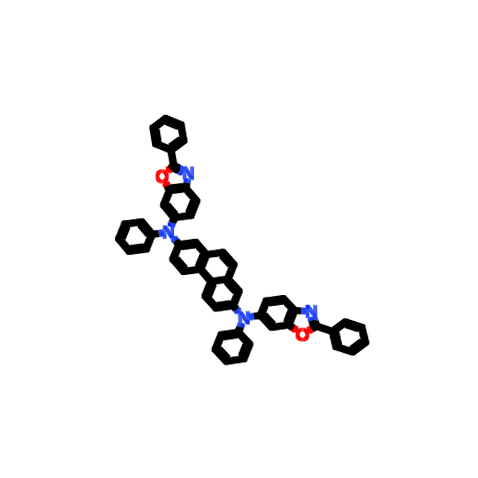 c1ccc(-c2nc3ccc(N(c4ccccc4)c4ccc5c(ccc6cc(N(c7ccccc7)c7ccc8nc(-c9ccccc9)oc8c7)ccc65)c4)cc3o2)cc1